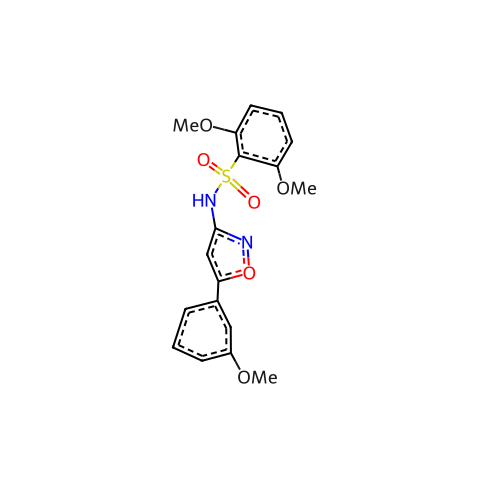 COc1cccc(-c2cc(NS(=O)(=O)c3c(OC)cccc3OC)no2)c1